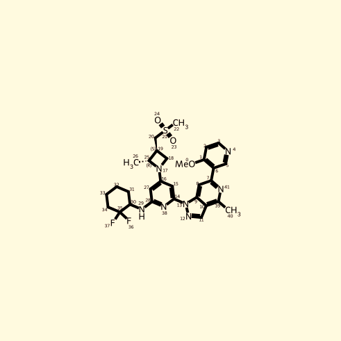 COc1ccncc1-c1cc2c(cnn2-c2cc(N3C[C@H](CS(C)(=O)=O)[C@H]3C)cc(NC3CCCCC3(F)F)n2)c(C)n1